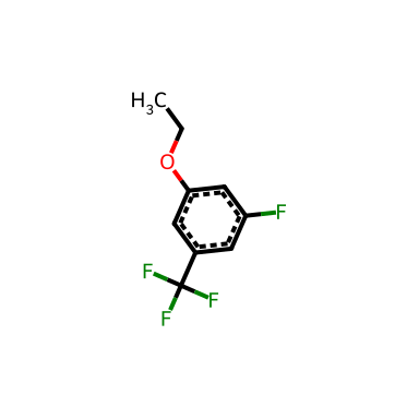 CCOc1cc(F)cc(C(F)(F)F)c1